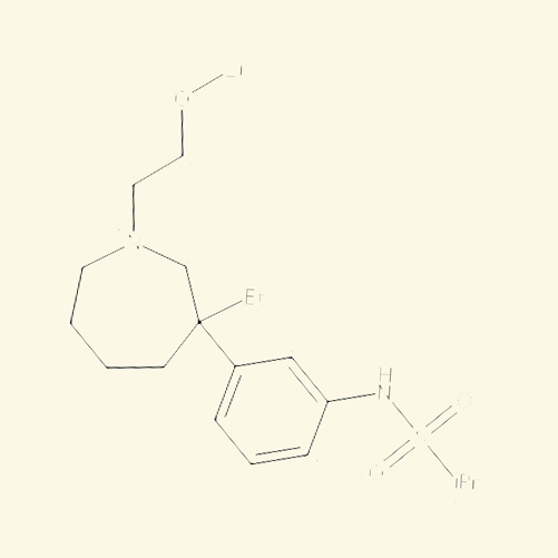 CCOCCN1CCCCC(CC)(c2cccc(NS(=O)(=O)C(C)C)c2)C1